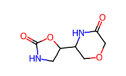 O=C1COCC(C2CNC(=O)O2)N1